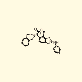 O=C(O)N(c1ccc2c(c1F)CN(Nc1ccncc1)C2)N1CCc2ccccc2C1